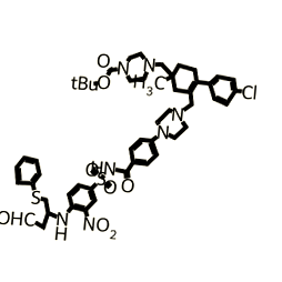 CC1(CN2CCN(C(=O)OC(C)(C)C)CC2)CCC(c2ccc(Cl)cc2)=C(CN2CCN(c3ccc(C(=O)NS(=O)(=O)c4ccc(NC(CC=O)CSc5ccccc5)c([N+](=O)[O-])c4)cc3)CC2)C1